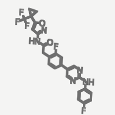 O=C(Cc1ccc(-c2cnc(Nc3ccc(F)cc3)nc2)cc1F)Nc1cc(C2(C(F)(F)F)CC2)on1